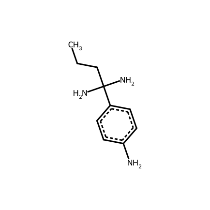 CCCC(N)(N)c1ccc(N)cc1